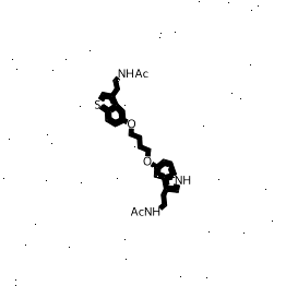 CC(=O)NCCc1c[nH]c2ccc(OCCCCOc3ccc4scc(CCNC(C)=O)c4c3)cc12